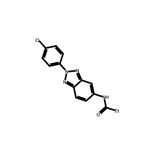 CCC(=O)Nc1ccc2nn(-c3ccc(Cl)cc3)nc2c1